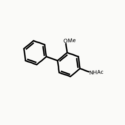 COc1cc(NC(C)=O)ccc1-c1ccccc1